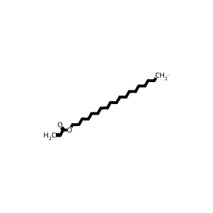 [CH2]CCCCCCCCCCCCCCCCCCOC(=O)C=C